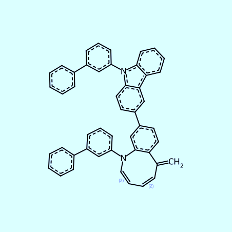 C=C1/C=C\C=C/N(c2cccc(-c3ccccc3)c2)c2cc(-c3ccc4c(c3)c3ccccc3n4-c3cccc(-c4ccccc4)c3)ccc21